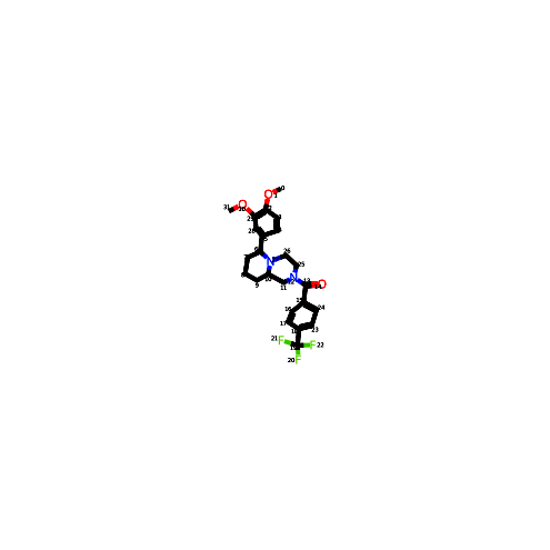 COc1ccc(C2CCCC3CN(C(=O)c4ccc(C(F)(F)F)cc4)CCN32)cc1OC